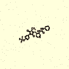 CC1C(=O)N(c2ccc(OC(F)(F)F)cc2)C(=O)N1Cc1ccncc1NC(=O)Nc1ccccc1